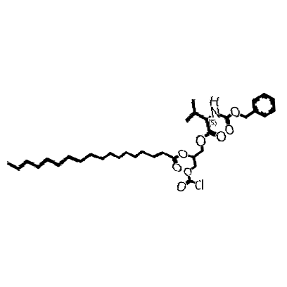 CCCCCCCCCCCCCCCCCC(=O)OC(COC(=O)Cl)COC(=O)[C@@H](NC(=O)OCc1ccccc1)C(C)C